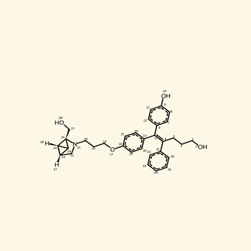 OCCC/C(=C(\c1ccc(O)cc1)c1ccc(OCCCN2C[C@H]3C4[C@H]3[C@@]42CO)cc1)c1ccccc1